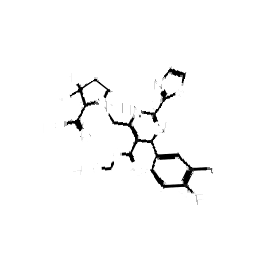 CCOC(=O)C1=C(CN2CCC(F)(F)C2C(=O)O)NC(c2nccs2)=NC1c1ccc(F)c(F)c1